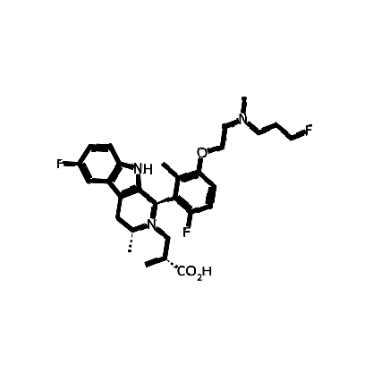 Cc1c(OCCN(C)CCCF)ccc(F)c1[C@@H]1c2[nH]c3ccc(F)cc3c2C[C@@H](C)N1C[C@@H](C)C(=O)O